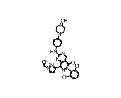 C=Cn1ccc(-c2nn(-c3c(Cl)cccc3Cl)c(=O)c3cnc(Nc4ccc(N5CCN(C)CC5)cc4)nc23)n1